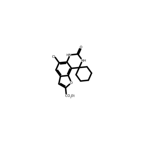 CCOC(=O)c1cc2cc(Cl)c3c(c2o1)C1(CCCCC1)NC(=O)N3